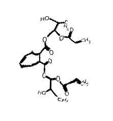 C=CC(=O)OC(OC(=O)c1ccccc1C(=O)OC(OC(=O)C=C)C(C)O)C(C)O